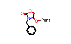 CCCC(C)OC1COC(=O)N1Cc1ccccc1